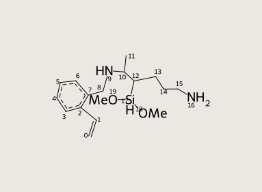 C=Cc1ccccc1CNC(C)C(CCCN)[SiH](OC)OC